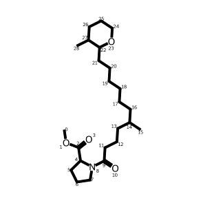 COC(=O)C1CCCN1C(=O)CCCC(C)CCCCCCC1OCCCC1C